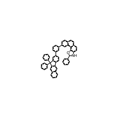 c1ccc(C2Nc3ccc4ccc5ccc(-c6cccc(-c7ccc8c(c7)C(c7ccccc7)(c7ccccc7)c7cc9ccccc9cc7-8)c6)cc5c4c3O2)cc1